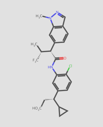 C[C@H]([C@@H](C(=O)Nc1cc([C@@H](CC(=O)O)C2CC2)ccc1Cl)c1ccc2cnn(C)c2c1)C(F)(F)F